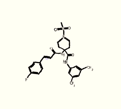 CS(=O)(=O)N1CCC(NC(=O)/C=C/c2ccc(F)cc2)(C(=O)Nc2cc(C(F)(F)F)cc(C(F)(F)F)c2)CC1